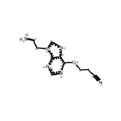 N#CCCOc1ncnc2c1ncn2CCN